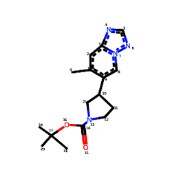 Cc1cc2ncnn2cc1C1CCN(C(=O)OC(C)(C)C)C1